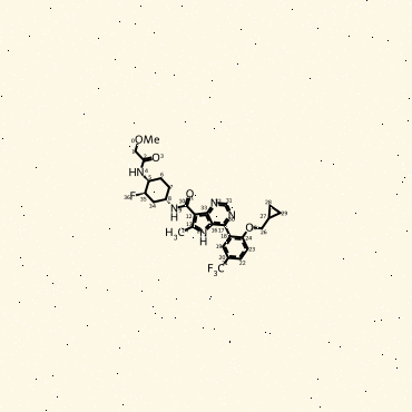 COCC(=O)N[C@H]1CC[C@H](NC(=O)c2c(C)[nH]c3c(-c4cc(C(F)(F)F)ccc4OCC4CC4)ncnc23)C[C@H]1F